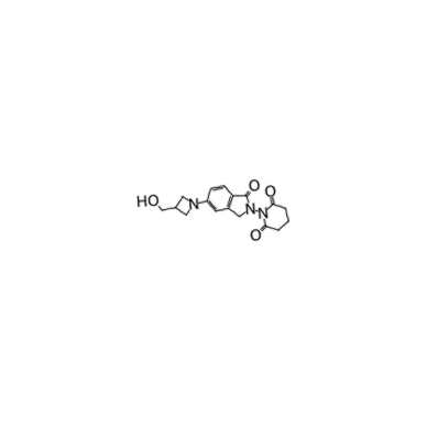 O=C1c2ccc(N3CC(CO)C3)cc2CN1N1C(=O)CCCC1=O